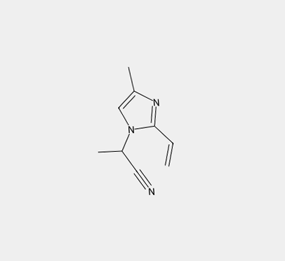 C=Cc1nc(C)cn1C(C)C#N